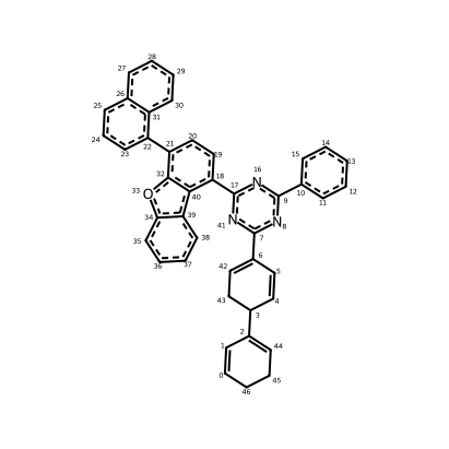 C1=CC(C2C=CC(c3nc(-c4ccccc4)nc(-c4ccc(-c5cccc6ccccc56)c5oc6ccccc6c45)n3)=CC2)=CCC1